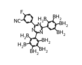 Bc1cc(-c2nc(-c3ccc(F)c(C#N)c3)nc(-c3c(B)c(B)c(B)c(B)c3B)n2)c(B)c(B)c1B